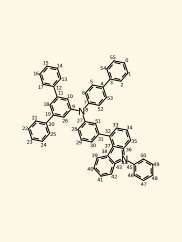 c1ccc(-c2ccc(N(c3cc(-c4ccccc4)cc(-c4ccccc4)c3)c3cccc(-c4cccc5c4c4ccccc4n5-c4ccccc4)c3)cc2)cc1